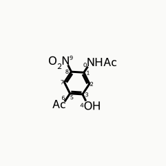 CC(=O)Nc1cc(O)c(C(C)=O)cc1[N+](=O)[O-]